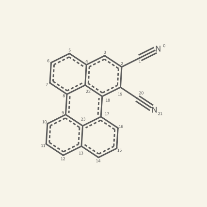 N#Cc1cc2cccc3c4cccc5cccc(c(c1C#N)c23)c54